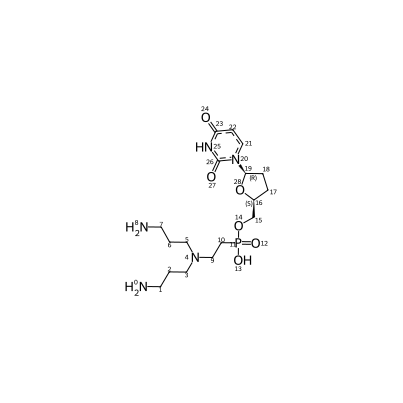 NCCCN(CCCN)CCP(=O)(O)OC[C@@H]1CC[C@H](n2ccc(=O)[nH]c2=O)O1